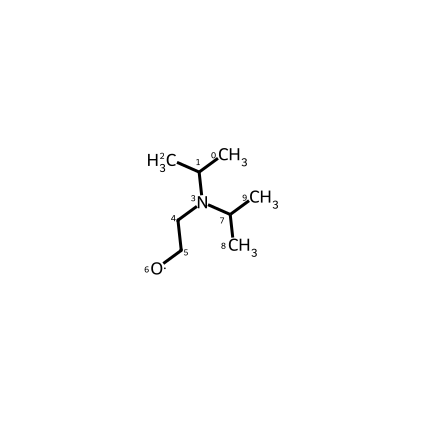 CC(C)N(CC[O])C(C)C